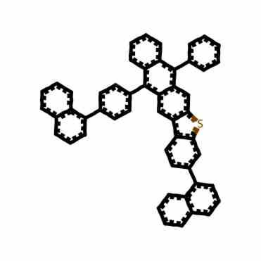 c1ccc(-c2c3ccccc3c(-c3ccc(-c4cccc5ccccc45)cc3)c3cc4c(cc23)sc2cc(-c3cccc5ccccc35)ccc24)cc1